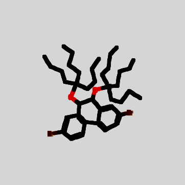 CCCC[Si](CCCC)(CCCC)OC1c2cc(Br)ccc2-c2ccc(Br)cc2C1O[Si](CCCC)(CCCC)CCCC